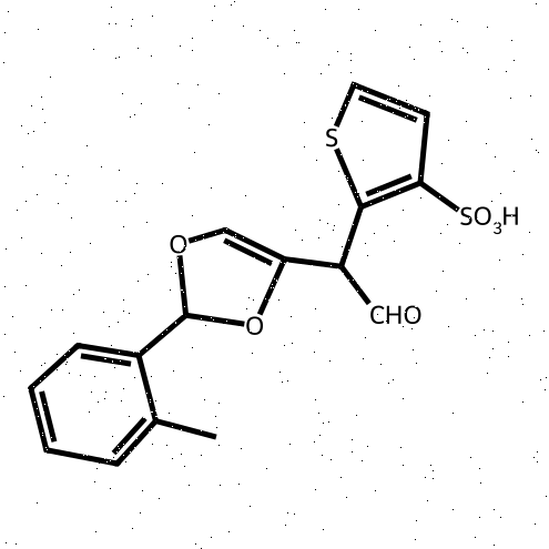 Cc1ccccc1C1OC=C(C(C=O)c2sccc2S(=O)(=O)O)O1